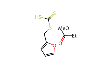 CCC(=O)OC.S=C(S)SCc1ccco1